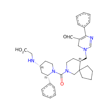 O=CC1=C(c2ccccc2)N=CN(C[C@@H]2CCN(C(=O)N3CC[C@@H](NCC(=O)O)C[C@H]3c3ccccc3)CC23CCCC3)C1